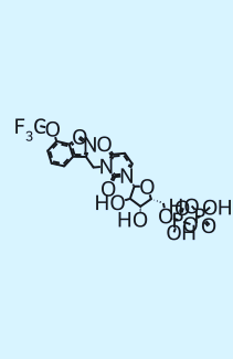 O=c1ccn([C@@H]2O[C@H](COP(=O)(O)OP(=O)(O)O)[C@H](O)C2O)c(=O)n1Cc1noc2c(OC(F)(F)F)cccc12